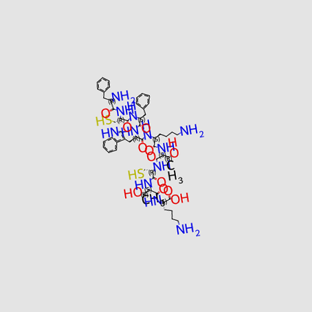 C[C@@H](O)[C@H](NC(=O)[C@H](CS)NC(=O)[C@@H](NC(=O)[C@H](CCCCN)NC(=O)[C@@H](Cc1c[nH]c2ccccc12)NC(=O)[C@H](Cc1ccccc1)NC(=O)[C@H](CS)NC(=O)[C@H](N)Cc1ccccc1)[C@@H](C)O)C(=O)N[C@@H](CCCCN)C(=O)O